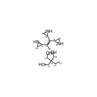 CC(=C(C1CN1)C1CN1)C1CN1.CCC(CO)(CO)CO